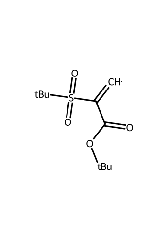 [CH]=C(C(=O)OC(C)(C)C)S(=O)(=O)C(C)(C)C